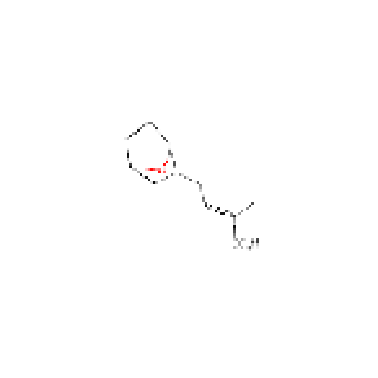 CC(=CCC1CC2CCC1O2)C(=O)O